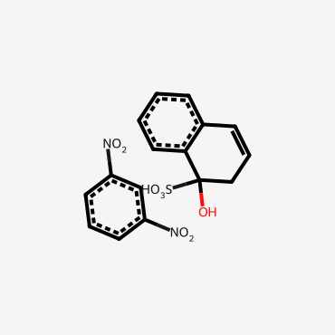 O=S(=O)(O)C1(O)CC=Cc2ccccc21.O=[N+]([O-])c1cccc([N+](=O)[O-])c1